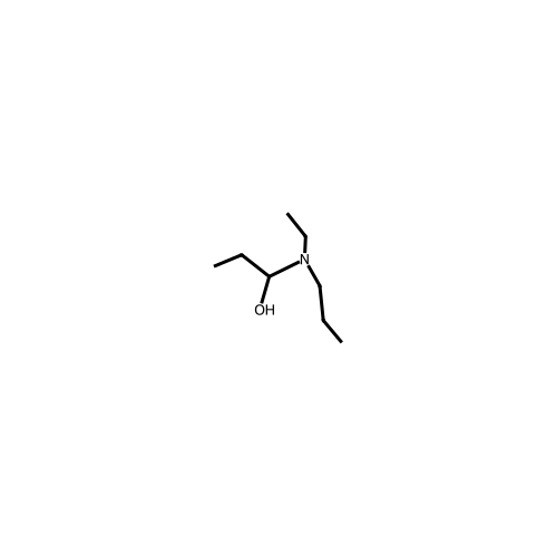 CCCN(CC)C(O)CC